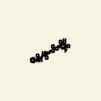 O=C(CCC(=O)NC1CCCC1)NCCOC(=O)OCn1cc(F)c(=O)[nH]c1=O